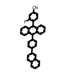 N#Cc1ccc(-c2c3ccccc3c(-c3ccc(-c4ccc5ccccc5c4)cc3)c3ccccc23)c(F)c1